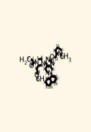 C=CC(=O)N1CCN(c2nc(OCC3CCCN3C)nc3c2CCN(c2cccc4ccccc24)C3)CC1CCOC